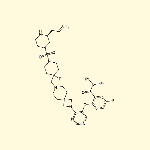 C=CC[C@H]1CN(S(=O)(=O)N2CCC(F)(CN3CCC4(CC3)CN(c3ncncc3Oc3ccc(F)cc3C(=O)N(C(C)C)C(C)C)C4)CC2)CCN1